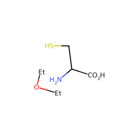 CCOCC.NC(CS)C(=O)O